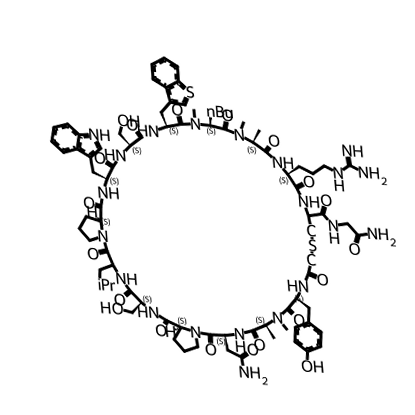 CCCC[C@H]1C(=O)N(C)[C@@H](C)C(=O)N[C@@H](CCCNC(=N)N)C(=O)NC(C(=O)NCC(N)=O)CSCC(=O)N[C@@H](Cc2ccc(O)cc2)C(=O)N(C)[C@@H](C)C(=O)N[C@@H](CC(N)=O)C(=O)N2CCC[C@H]2C(=O)N[C@@H](CO)C(=O)NC(CC(C)C)C(=O)N2CCC[C@H]2C(=O)N[C@@H](Cc2c[nH]c3ccccc23)C(=O)N[C@@H](CO)C(=O)N[C@@H](Cc2csc3ccccc23)C(=O)N1C